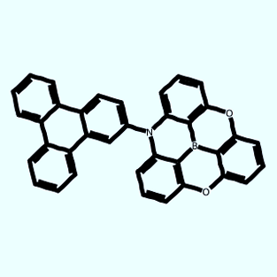 c1cc2c3c(c1)Oc1cccc4c1B3c1c(cccc1N4c1ccc3c4ccccc4c4ccccc4c3c1)O2